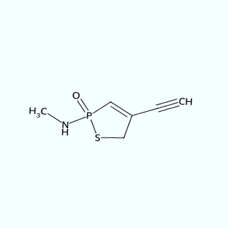 C#CC1=CP(=O)(NC)SC1